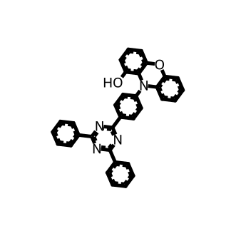 Oc1cccc2c1N(c1ccc(-c3nc(-c4ccccc4)nc(-c4ccccc4)n3)cc1)c1ccccc1O2